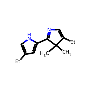 CCC1=CN=C(c2cc(CC)c[nH]2)C1(C)C